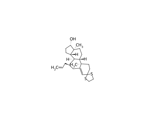 C=CC[C@@H]1CC2=CC3(CC[C@]2(C)[C@H]2CC[C@]4(C)[C@@H](O)CC[C@H]4[C@H]12)SCCS3